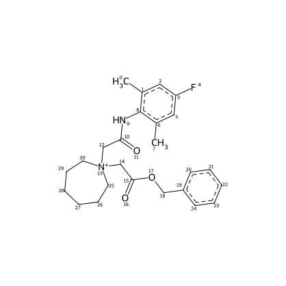 Cc1cc(F)cc(C)c1NC(=O)C[N+]1(CC(=O)OCc2ccccc2)CCCCCC1